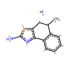 CC1Cc2sc(N)nc2-c2ccccc21.I